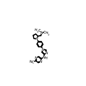 CN(C)CC1CCCN1c1ccc(-n2cnc(Nc3cnc(C#N)cn3)c2)cc1